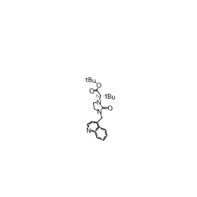 CC(C)(C)OC(=O)[C@@H](N1CCN(Cc2ccnc3ccccc23)C1=O)C(C)(C)C